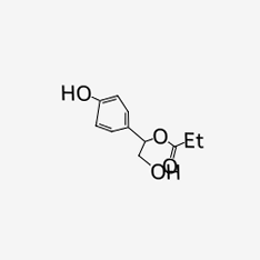 CCC(=O)OC(CO)c1ccc(O)cc1